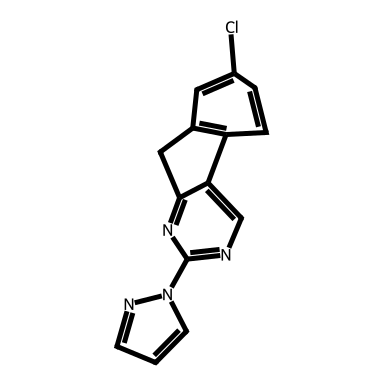 Clc1ccc2c(c1)Cc1nc(-n3cccn3)ncc1-2